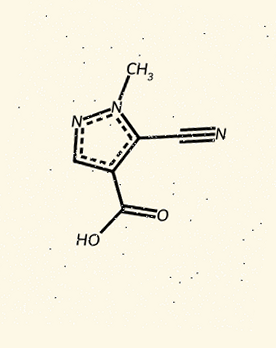 Cn1ncc(C(=O)O)c1C#N